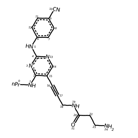 CCCNc1nc(Nc2ccc(C#N)cc2)ncc1C#CCNC(=O)CCN